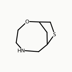 C1COC2CSC(CN1)C2